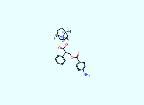 CN1[C@@H]2CC[C@H]1C[C@@H](OC(=O)C(COC(=O)c1ccc(N)cc1)c1ccccc1)C2